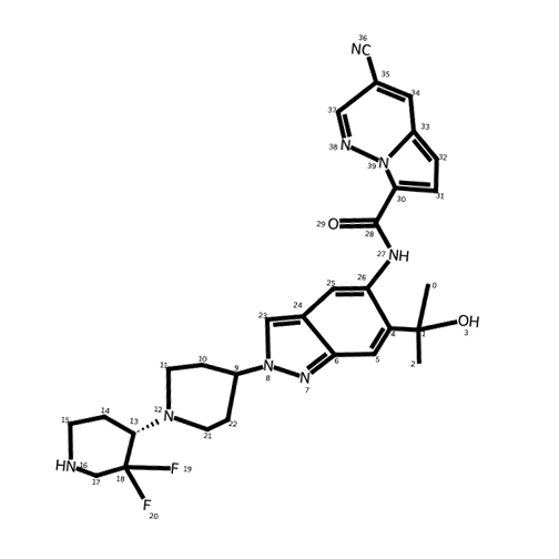 CC(C)(O)c1cc2nn(C3CCN([C@H]4CCNCC4(F)F)CC3)cc2cc1NC(=O)c1ccc2cc(C#N)cnn12